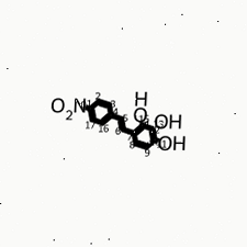 O=[N+]([O-])c1ccc(C=Cc2ccc(O)c(O)c2O)cc1